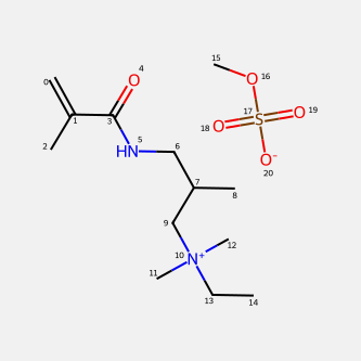 C=C(C)C(=O)NCC(C)C[N+](C)(C)CC.COS(=O)(=O)[O-]